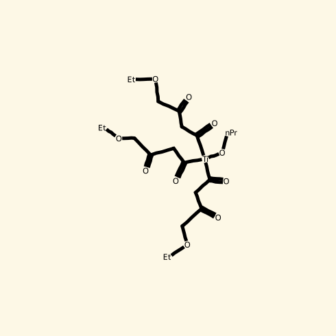 CCC[O][Ti]([C](=O)CC(=O)COCC)([C](=O)CC(=O)COCC)[C](=O)CC(=O)COCC